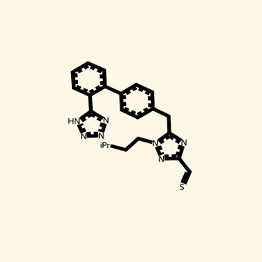 CC(C)CCn1nc(C=S)nc1Cc1ccc(-c2ccccc2-c2nnn[nH]2)cc1